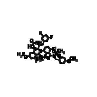 COc1ccc(CN(c2nn(C)c3c(-n4c(C(Cc5cc(F)cc(F)c5)NC(=O)O)nc5cc(OC)cc(F)c5c4=O)ccc(Cl)c23)S(C)(=O)=O)cc1